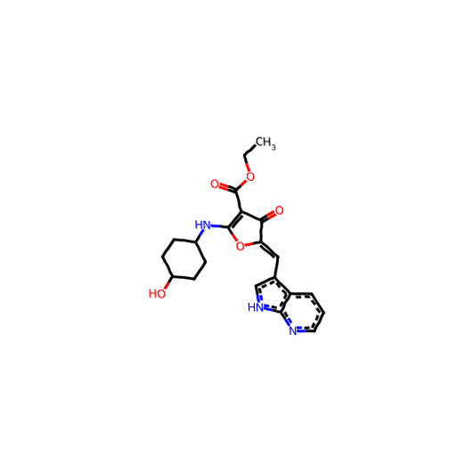 CCOC(=O)C1=C(NC2CCC(O)CC2)OC(=Cc2c[nH]c3ncccc23)C1=O